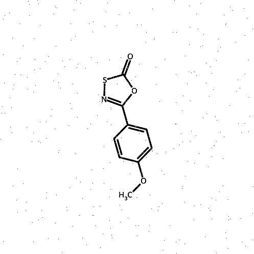 COc1ccc(-c2nsc(=O)o2)cc1